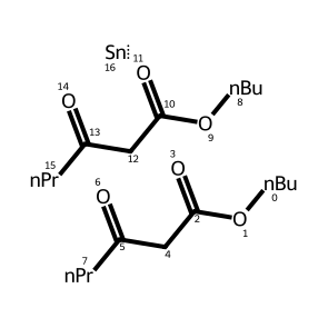 CCCCOC(=O)CC(=O)CCC.CCCCOC(=O)CC(=O)CCC.[Sn]